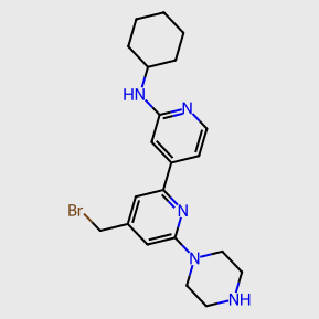 BrCc1cc(-c2ccnc(NC3CCCCC3)c2)nc(N2CCNCC2)c1